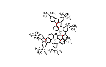 CC(C)(C)c1cc(-c2ccccc2)c(N2c3cc(-n4c5ccc(C(C)(C)C)cc5c5cc(C(C)(C)C)ccc54)ccc3B3c4ccc(-n5c6ccc(C(C)(C)C)cc6c6cc(C(C)(C)C)ccc65)cc4N(c4c(-c5ccccc5)cc(C(C)(C)C)cc4-c4ccccc4)c4cc(C(C)(C)C)cc2c43)c(-c2ccccc2)c1